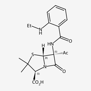 CCNc1ccccc1C(=O)N[C@@]1(C(C)=O)C(=O)N2[C@@H](C(=O)O)C(C)(C)S[C@@H]21